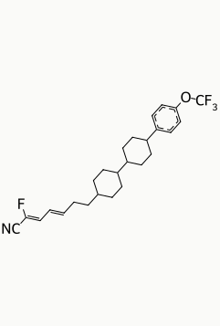 N#CC(F)=CC=CCCC1CCC(C2CCC(c3ccc(OC(F)(F)F)cc3)CC2)CC1